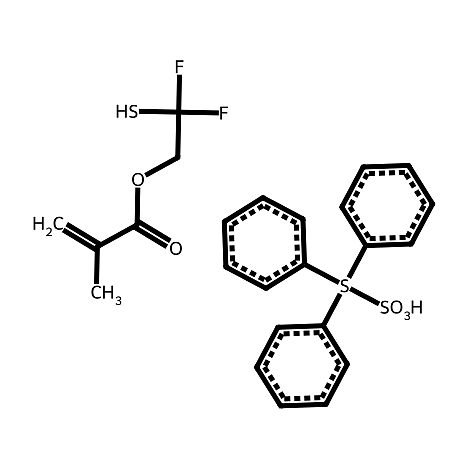 C=C(C)C(=O)OCC(F)(F)S.O=S(=O)(O)S(c1ccccc1)(c1ccccc1)c1ccccc1